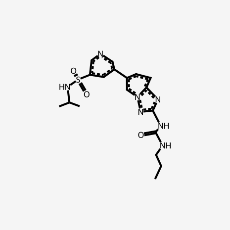 CCCNC(=O)Nc1nc2ccc(-c3cncc(S(=O)(=O)NC(C)C)c3)cn2n1